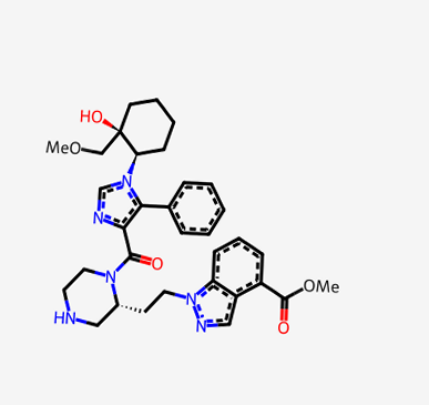 COC[C@]1(O)CCCC[C@H]1n1cnc(C(=O)N2CCNC[C@H]2CCn2ncc3c(C(=O)OC)cccc32)c1-c1ccccc1